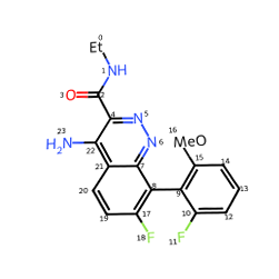 CCNC(=O)c1nnc2c(-c3c(F)cccc3OC)c(F)ccc2c1N